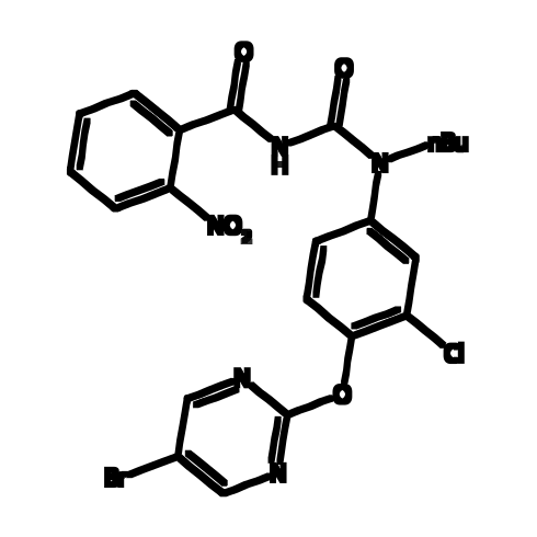 CCCCN(C(=O)NC(=O)c1ccccc1[N+](=O)[O-])c1ccc(Oc2ncc(Br)cn2)c(Cl)c1